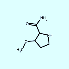 COC1CCNC1C(N)=O